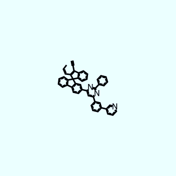 C#CC1=C(/C=C\C)C2(c3ccccc31)c1ccccc1-c1ccc(-c3cc(-c4cccc(-c5cccnc5)c4)nc(-c4ccccc4)n3)cc12